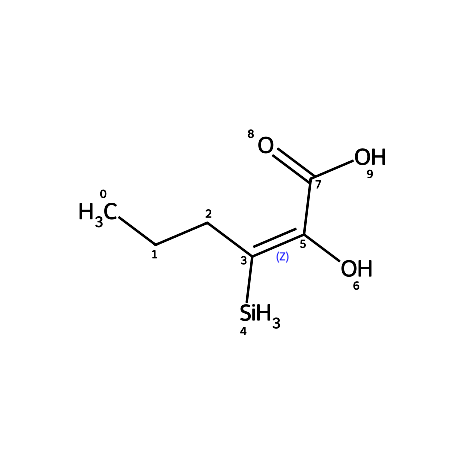 CCC/C([SiH3])=C(/O)C(=O)O